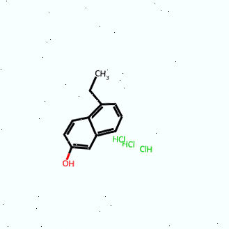 CCc1cccc2cc(O)ccc12.Cl.Cl.Cl